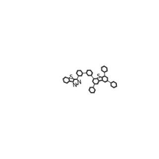 c1ccc(-c2cc(-c3ccccc3)c3sc4c(-c5cccc(-c6cccc(-c7ncnc8c7sc7ccccc78)c6)c5)cc(-c5ccccc5)cc4c3c2)cc1